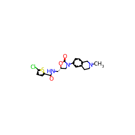 CN1CCc2cc(N3C[C@H](CNC(=O)c4ccc(Cl)s4)OC3=O)ccc2C1